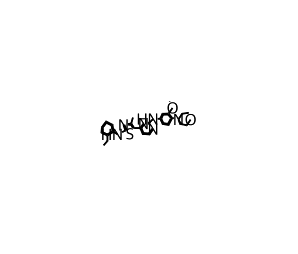 CCc1ccccc1Nc1nc(C)c(-c2ccnc(Nc3ccc(N4CCOCC4)c(OC)c3)n2)s1